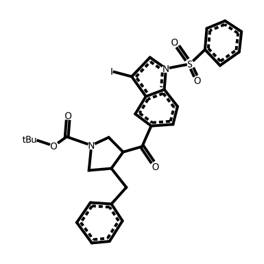 CC(C)(C)OC(=O)N1CC(Cc2ccccc2)C(C(=O)c2ccc3c(c2)c(I)cn3S(=O)(=O)c2ccccc2)C1